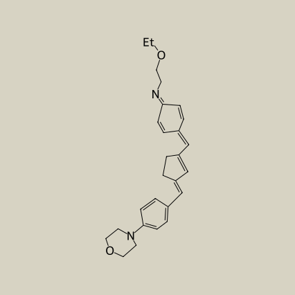 CCOCCN=C1C=CC(=CC2=C/C(=C/c3ccc(N4CCOCC4)cc3)CC2)C=C1